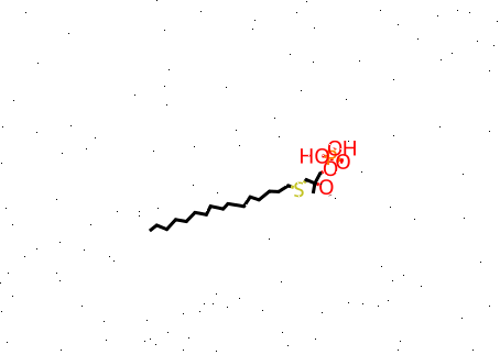 CCCCCCCCCCCCCCCCSCC(C)(COP(=O)(O)O)OC